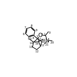 CC(OC1(c2ccccc2)CC2CCC1(C)C2(C)C)N(C)C